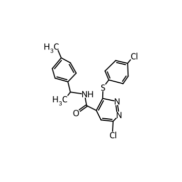 Cc1ccc(C(C)NC(=O)c2cc(Cl)nnc2Sc2ccc(Cl)cc2)cc1